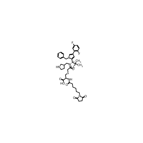 CC(C)(C)[C@@H](c1cc(-c2cc(F)ccc2F)cn1Cc1ccccc1)N(CC1CCNC1)C(=O)CSCC(NC(=O)CCCCCN1C(=O)CCC1=O)C(=O)O